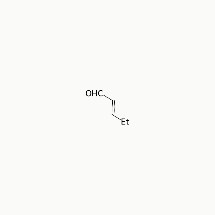 [CH2]C/C=C/C=O